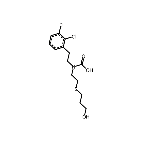 O=C(O)N(CCSCCCO)CCc1cccc(Cl)c1Cl